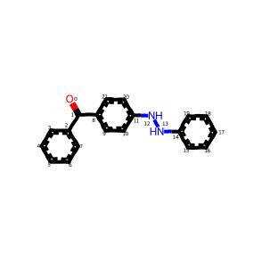 O=C(c1ccccc1)c1ccc(NNc2ccccc2)cc1